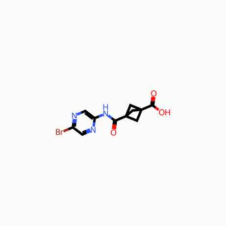 O=C(O)C12CC(C(=O)Nc3cnc(Br)cn3)(C1)C2